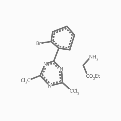 CCOC(=O)CN.ClC(Cl)(Cl)c1nc(-c2ccccc2Br)nc(C(Cl)(Cl)Cl)n1